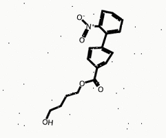 O=C(OCCCCO)c1ccc(-c2ccccc2[N+](=O)[O-])cc1